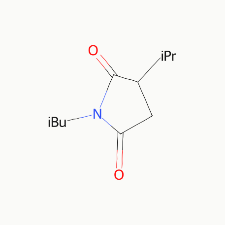 CCC(C)N1C(=O)CC(C(C)C)C1=O